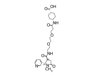 CN1C(=O)C[C@H](C(=O)NCCOCCOCCC(=O)N[C@H]2CC[C@@H](C(=O)O)CC2)[C@H]1c1cccnc1